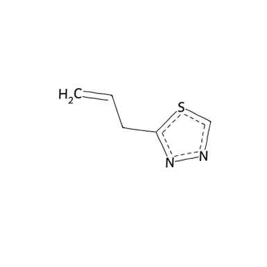 C=CCc1nncs1